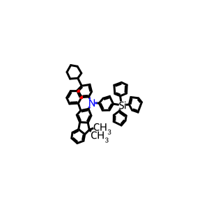 CC1(C)c2ccccc2-c2cc(-c3ccccc3)c(N(c3ccc(C4CCCCC4)cc3)c3ccc([Si](c4ccccc4)(c4ccccc4)c4ccccc4)cc3)cc21